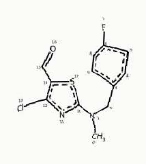 CN(Cc1ccc(F)cc1)c1nc(Cl)c(C=O)s1